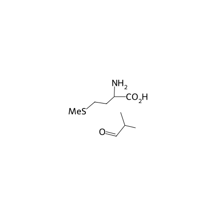 CC(C)C=O.CSCCC(N)C(=O)O